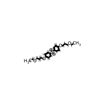 CCOCCCOc1ccc(S(=O)(=O)c2ccc(OCCCOCC)cc2)cc1